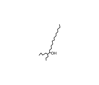 CCCCCCCCCCCCCC(O)C(CCC)CCCC